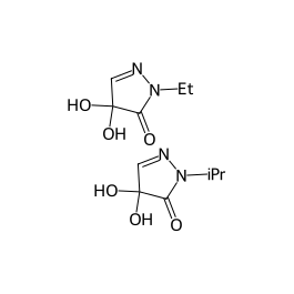 CC(C)N1N=CC(O)(O)C1=O.CCN1N=CC(O)(O)C1=O